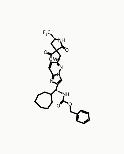 COC(=O)C1(Cc2ccc3nc([C@@H](NC(=O)OCc4ccccc4)C4CCCCCC4)cn3n2)C[C@@H](C(F)(F)F)NC1=O